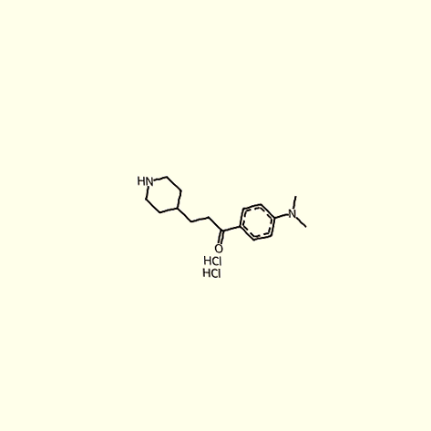 CN(C)c1ccc(C(=O)CCC2CCNCC2)cc1.Cl.Cl